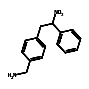 NCc1ccc(CC(c2ccccc2)[N+](=O)[O-])cc1